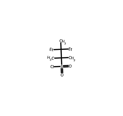 CCC(C)(CC)C(C)(C)S(=O)(=O)Cl